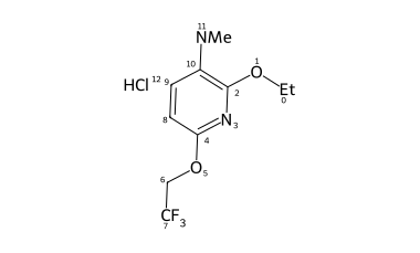 CCOc1nc(OCC(F)(F)F)ccc1NC.Cl